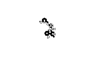 COc1cccc(COc2nnc(NC(=O)c3cnc(C)cc3-c3c(F)cccc3OC)s2)n1